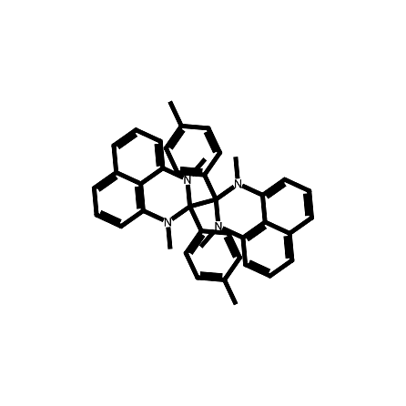 Cc1ccc(C2(C3(c4ccc(C)cc4)N(C)c4cccc5cccc(c45)N3C)N(C)c3cccc4cccc(c34)N2C)cc1